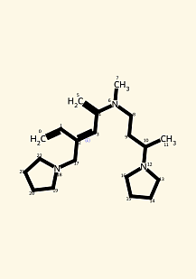 C=C/C(=C\C(=C)N(C)CCC(C)N1CCCC1)CN1CCCC1